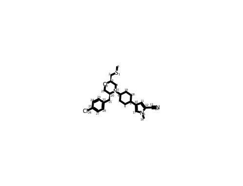 CSC[C@H]1CN(C2CCC(c3cc(C#N)n(C)c3)CC2)[C@@H](Cc2ccc(Cl)cc2)CO1